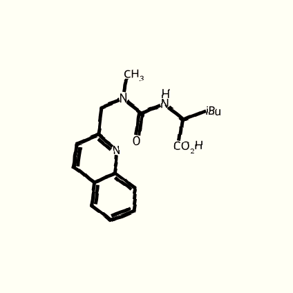 CCC(C)C(NC(=O)N(C)Cc1ccc2ccccc2n1)C(=O)O